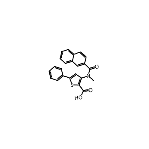 CN(C(=O)c1ccc2ccccc2c1)c1cc(-c2ccccc2)sc1C(=O)O